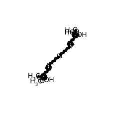 COc1cc(/C=C/c2cc[n+](CCCCCCSSCCCCCC[n+]3ccc(/C=C/c4cc(O)c(OC)c(O)c4)cc3)cc2)cc(O)c1OC